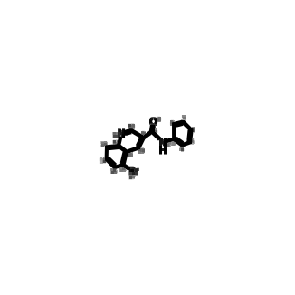 O=C(Nc1ccccc1)c1cnc2cccc(Br)c2c1